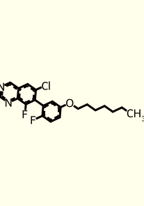 CCCCCCCOc1ccc(F)c(-c2c(Cl)cc3cncnc3c2F)c1